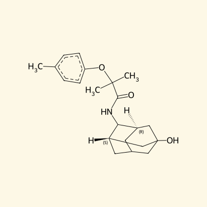 Cc1ccc(OC(C)(C)C(=O)NC2[C@@H]3CC4C[C@H]2CC(O)(C4)C3)cc1